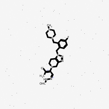 C/C(Cl)=C(\C=N/NC=O)N1CCc2c(nnn2Cc2ccc(F)cc2CN2CCN(C)CC2)C1